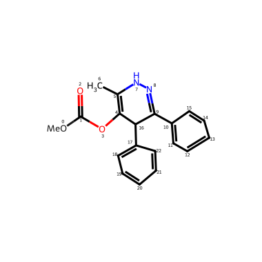 COC(=O)OC1=C(C)NN=C(c2ccccc2)C1c1ccccc1